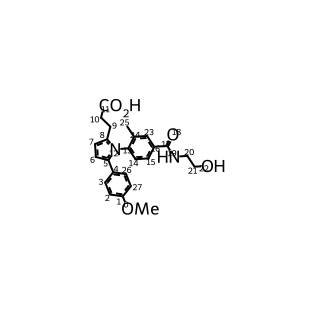 COc1ccc(-c2ccc(CCC(=O)O)n2-c2ccc(C(=O)NCCO)cc2C)cc1